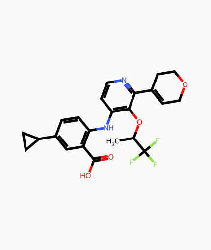 CC(Oc1c(Nc2ccc(C3CC3)cc2C(=O)O)ccnc1C1=CCOCC1)C(F)(F)F